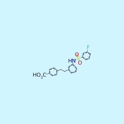 O=C(O)c1ccc(CCc2cccc(NS(=O)(=O)c3cccc(F)c3)c2)cc1